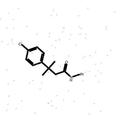 CC(C)NC(=O)CC(C)(C)c1ccc(Cl)cc1